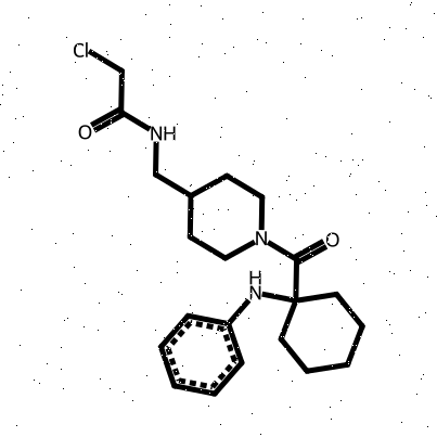 O=C(CCl)NCC1CCN(C(=O)C2(Nc3ccccc3)CCCCC2)CC1